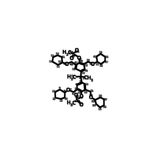 CC(C)(c1cc(COC2CCCCC2)c(OS(C)(=O)=O)c(COC2CCCCC2)c1)c1cc(COC2CCCCC2)c(OS(C)(=O)=O)c(COC2CCCCC2)c1